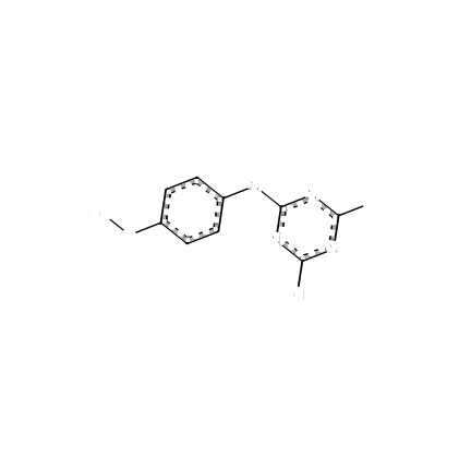 CSc1ccc(Nc2nc(Cl)nc(Cl)n2)cc1